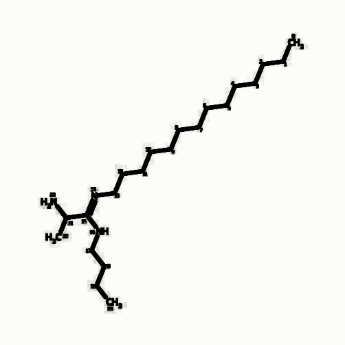 CCCCCCCCCCCCCCN=C(NCCCC)C(C)N